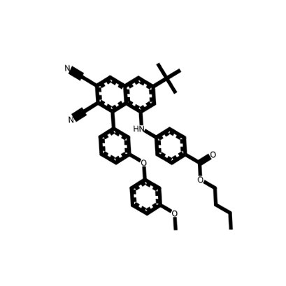 CCCCOC(=O)c1ccc(Nc2cc(C(C)(C)C)cc3cc(C#N)c(C#N)c(-c4cccc(Oc5cccc(OC)c5)c4)c23)cc1